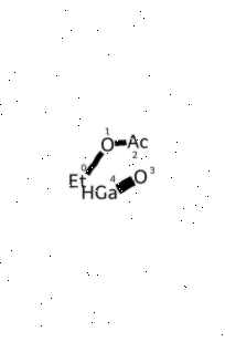 CCOC(C)=O.[O]=[GaH]